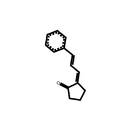 O=C1CCCC1=CC=Cc1ccccc1